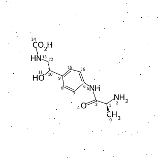 C[C@H](N)C(=O)Nc1ccc(C(O)CNC(=O)O)cc1